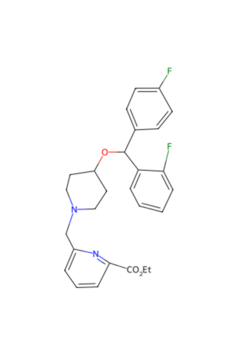 CCOC(=O)c1cccc(CN2CCC(OC(c3ccc(F)cc3)c3ccccc3F)CC2)n1